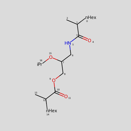 CCCCCCC(C)C(=O)NCC(COC(=O)C(C)CCCCCC)OC(C)C